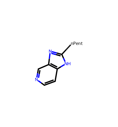 CCCCCc1nc2cnccc2[nH]1